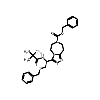 CC(C)(N)C(=O)N[C@H](COCc1ccccc1)c1nnc2n1CCN(C(=O)OCc1ccccc1)CC2